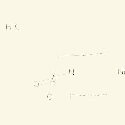 CC#CC(=O)N1C2CNCC1CC(=O)C2